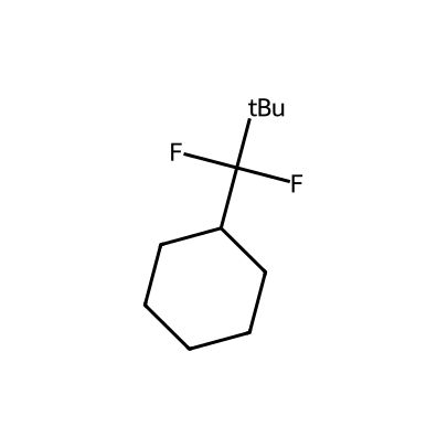 CC(C)(C)C(F)(F)C1CCCCC1